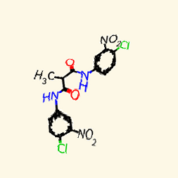 CC(C(=O)Nc1ccc(Cl)c([N+](=O)[O-])c1)C(=O)Nc1ccc(Cl)c([N+](=O)[O-])c1